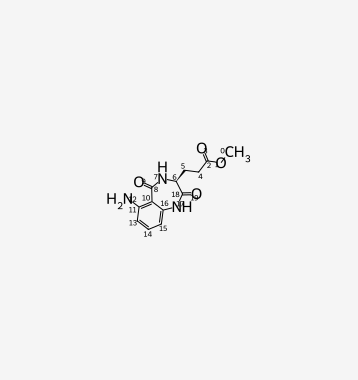 COC(=O)CC[C@@H]1NC(=O)c2c(N)cccc2NC1=O